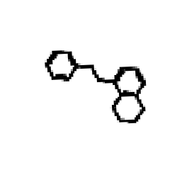 c1ccc(CCc2cccc3c2CCCC3)cc1